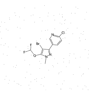 Cn1nc(-c2ccc(Cl)nc2)c(Br)c1OC(F)F